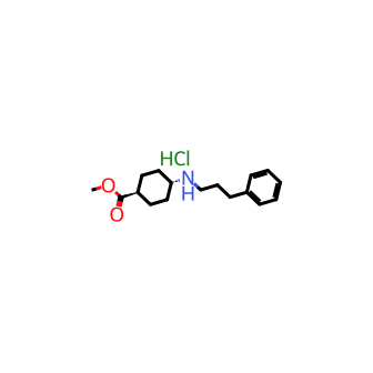 COC(=O)[C@H]1CC[C@H](NCCCc2ccccc2)CC1.Cl